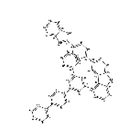 c1ccc(-c2ccc(-c3nc(-c4ccccc4)nc(-c4cccc5oc6ccc(-c7ccc(-c8nc9ccccc9o8)cc7)cc6c45)n3)cc2)cc1